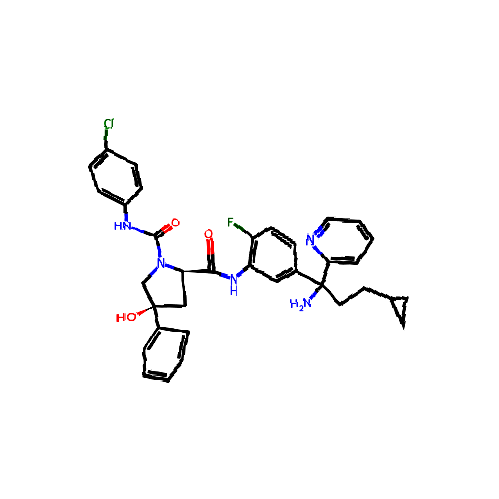 NC(CCC1CC1)(c1ccc(F)c(NC(=O)[C@H]2C[C@](O)(c3ccccc3)CN2C(=O)Nc2ccc(Cl)cc2)c1)c1ccccn1